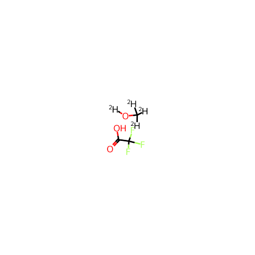 O=C(O)C(F)(F)F.[2H]OC([2H])([2H])[2H]